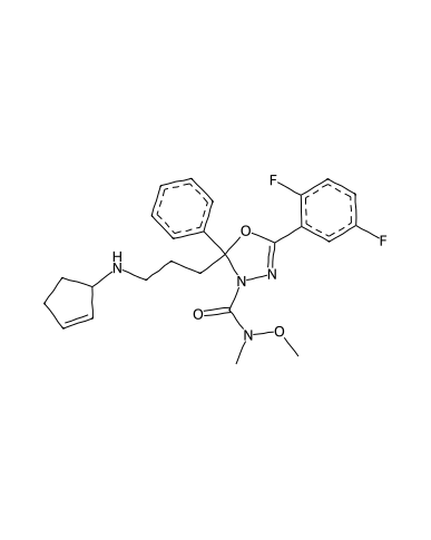 CON(C)C(=O)N1N=C(c2cc(F)ccc2F)OC1(CCCNC1C=CCC1)c1ccccc1